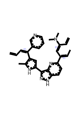 C=C/C=C(/c1cccnc1)c1cc(-c2n[nH]c3ccc(C(=C/C)/C=C(\C=C)N(C)C)nc23)[nH]c1C